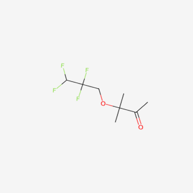 CC(=O)C(C)(C)OCC(F)(F)C(F)F